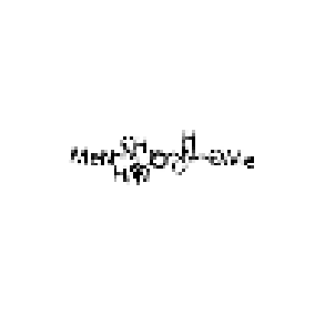 CNCCN(C)Cc1c[nH]nc1-c1ccc(CC(=O)NCCCOC)cc1